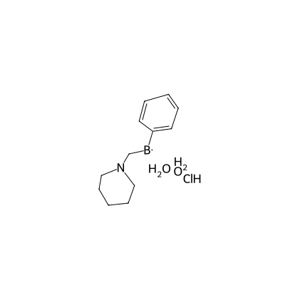 Cl.O.O.[B](CN1CCCCC1)c1ccccc1